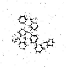 CC1(C)c2ccccc2Oc2c(N(c3ccc(-c4cccc5c4Oc4ccccc4S5)cc3)c3cccc4c3Oc3ccccc3C4(C)C)cccc21